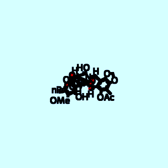 CCCC(=O)O[C@H]1CS[C@@H]2c3c(OC(C)=O)c(C)c4c(c3[C@H](COC1=O)N1C2[C@H]2N[C@H](Cc3cc(C)c(OC)c(O)c32)[C@@H]1O)OCO4